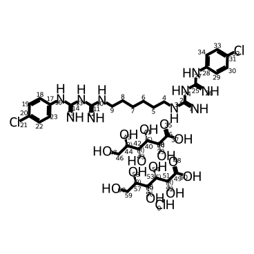 Cl.N=C(NCCCCCCNC(=N)NC(=N)Nc1ccc(Cl)cc1)NC(=N)Nc1ccc(Cl)cc1.O=C(O)[C@H](O)[C@@H](O)[C@H](O)[C@H](O)CO.O=C(O)[C@H](O)[C@@H](O)[C@H](O)[C@H](O)CO